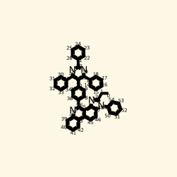 CCc1nc2c3c(-c4ccc(-c5c(-c6ccccc6)nc(-c6ccccc6)nc5-c5ccccc5)cc4)nc4ccccc4c3ccc2n1-c1ccccc1